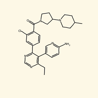 CCc1ncnc(-c2ccc(C(=O)N3CCC(N4CCC(C)CC4)C3)c(Cl)c2)c1-c1ccc(N)nc1